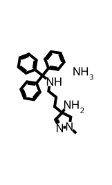 CN1CC(N)(CCCNC(c2ccccc2)(c2ccccc2)c2ccccc2)C=N1.N